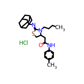 CCCCN1C(=NC23CC4CC(CC(C4)C2)C3)SCC1CC(=O)Nc1ccc(C)cc1.Cl